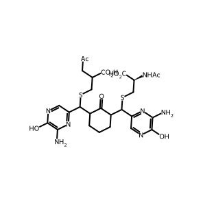 CC(=O)CC(CSC(c1cnc(O)c(N)n1)C1CCCC(C(SC[C@H](NC(C)=O)C(=O)O)c2cnc(O)c(N)n2)C1=O)C(=O)O